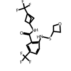 O=C(NC12CC(C(F)(F)F)(C1)C2)c1cc(C(F)(F)F)ccc1NSC1COC1